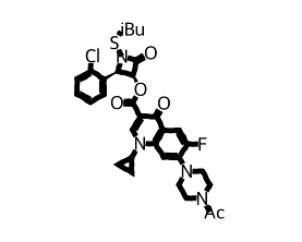 CCC(C)SN1C(=O)[C@@H](OC(=O)c2cn(C3CC3)c3cc(N4CCN(C(C)=O)CC4)c(F)cc3c2=O)[C@H]1c1ccccc1Cl